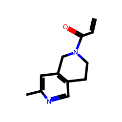 C=CC(=O)N1CCc2cnc(C)cc2C1